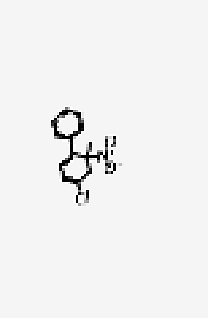 CC1([N+](=O)[O-])CC(Cl)=CC=C1c1ccccc1